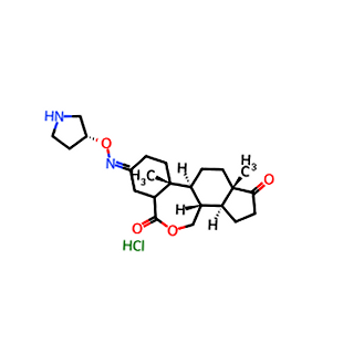 C[C@]12CC/C(=N\O[C@@H]3CCNC3)CC1C(=O)OC[C@@H]1[C@@H]2CC[C@]2(C)C(=O)CC[C@@H]12.Cl